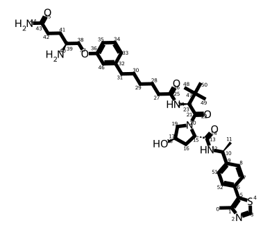 Cc1ncsc1-c1ccc([C@H](C)NC(=O)[C@@H]2C[C@@H](O)CN2C(=O)[C@@H](NC(=O)CCCCCc2cccc(OC[C@@H](N)CCC(N)=O)c2)C(C)(C)C)cc1